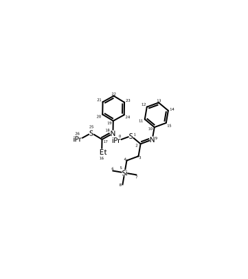 CC(C)SC(CC[Si](C)(C)C)=Nc1ccccc1.CCC(=Nc1ccccc1)SC(C)C